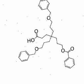 O=C(O)CCC(CCCOCc1ccccc1)(CCCOCc1ccccc1)CCCOC(=O)c1ccccc1